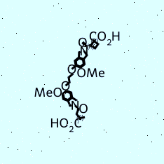 COc1cc2c(cc1OCCCOc1cc3c(cc1OC)CN(C(=O)[C@@H]1CC[C@H]1C(=O)O)C3)CN(C(=O)C[C@H](C)C(=O)O)C2